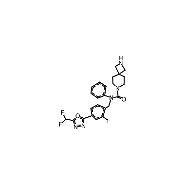 O=C(N1CCC2(CC1)CNC2)N(Cc1ccc(-c2nnc(C(F)F)o2)cc1F)c1ccccc1